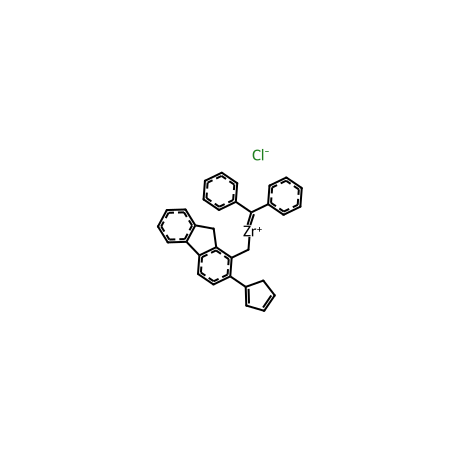 C1=CCC(c2ccc3c(c2[CH2][Zr+]=[C](c2ccccc2)c2ccccc2)Cc2ccccc2-3)=C1.[Cl-]